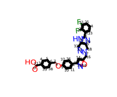 O=C(O)c1ccc(COc2ccc(-c3cc(CN4Cc5nc(-c6cccc(F)c6F)[nH]c5C=N4)on3)cc2)cc1